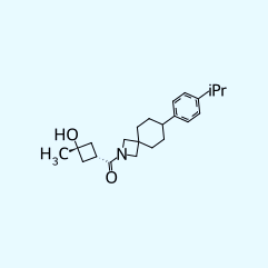 CC(C)c1ccc(C2CCC3(CC2)CN(C(=O)[C@H]2C[C@@](C)(O)C2)C3)cc1